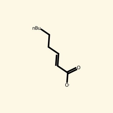 CCCCCCC=CC([O])=O